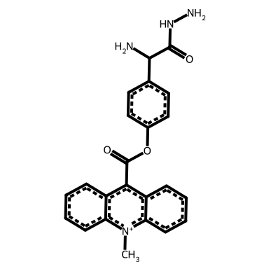 C[n+]1c2ccccc2c(C(=O)Oc2ccc(C(N)C(=O)NN)cc2)c2ccccc21